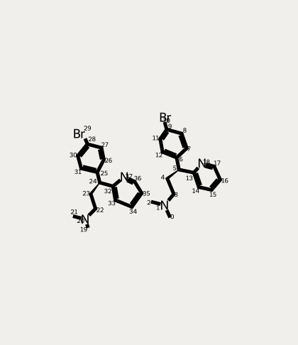 CN(C)CC[C@@H](c1ccc(Br)cc1)c1ccccn1.CN(C)CC[C@@H](c1ccc(Br)cc1)c1ccccn1